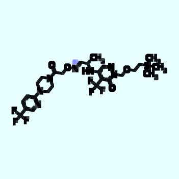 CC(/C=N/OCC(=O)N1CCN(c2ccc(C(F)(F)F)cn2)CC1)Nc1cnn(COCC[Si](C)(C)C)c(=O)c1C(F)(F)F